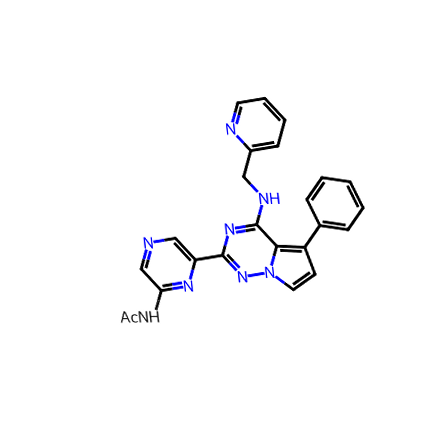 CC(=O)Nc1cncc(-c2nc(NCc3ccccn3)c3c(-c4ccccc4)ccn3n2)n1